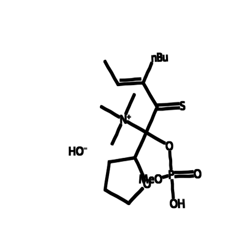 CC=C(CCCC)C(=S)C(OP(=O)(O)OC)(C1CCCO1)[N+](C)(C)C.[OH-]